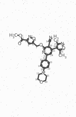 COC(=O)c1cc(COc2nc(-c3ccc(N4CCOCC4)cc3)cc(-c3c(C)noc3C)c2C#N)on1